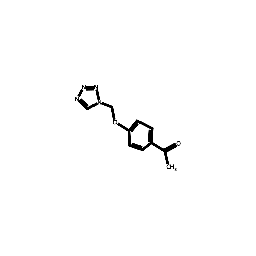 CC(=O)c1ccc(OCn2cnnn2)cc1